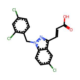 O=C(O)C=Cc1nn(Cc2ccc(Cl)cc2Cl)c2ccc(Cl)cc12